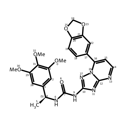 COc1cc([C@H](C)NC(=O)Nc2nc3nccc(-c4ccc5c(c4)OCO5)n3n2)cc(OC)c1OC